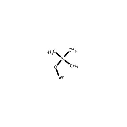 [CH2][Si](C)(C)OC(C)C